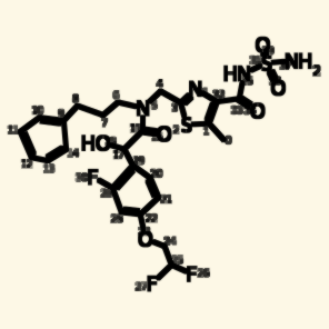 Cc1sc(CN(CCCc2ccccc2)C(=O)C(O)c2ccc(OCC(F)F)cc2F)nc1C(=O)NS(N)(=O)=O